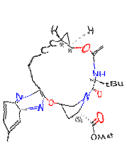 C=C1N[C@@H](C(C)(C)C)C(=O)N2CC(C[C@H]2C(=O)OC)Oc2nc3cc(C)ccc3nc2CCCCC[C@@H]2C[C@H]2O1